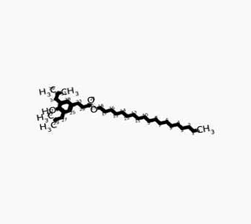 CCCCCCCCCCCCCCCCCCCOC(=O)CCc1cc(CC(C)C)c(O)c(CC(C)C)c1